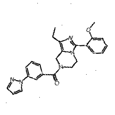 CCc1nc(-c2ccccc2OC)n2c1CN(C(=O)c1cccc(-n3cccn3)c1)CC2